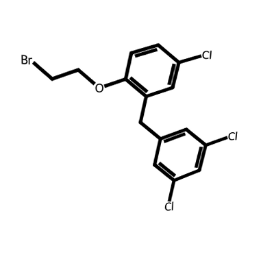 Clc1cc(Cl)cc(Cc2cc(Cl)ccc2OCCBr)c1